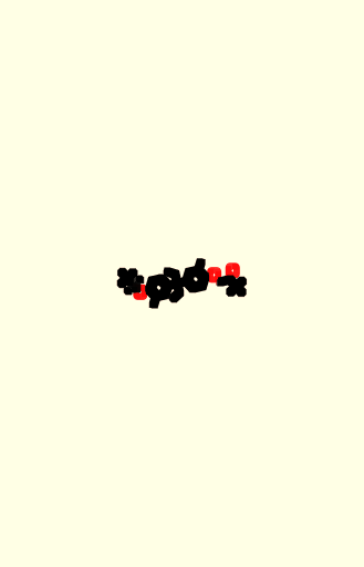 CCC(CC)(c1ccc(OCC(=O)C(C)(C)C)c(C)c1)c1ccc(O[Si](C)(C)C(C)(C)C)c(C)c1